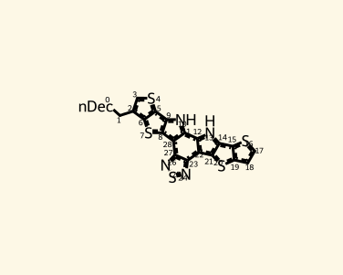 CCCCCCCCCCCc1csc2c1sc1c2[nH]c2c3[nH]c4c5sccc5sc4c3c3nsnc3c21